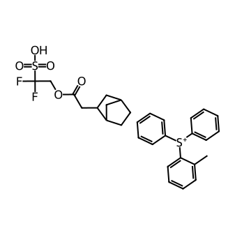 Cc1ccccc1[S+](c1ccccc1)c1ccccc1.O=C(CC1CC2CCC1C2)OCC(F)(F)S(=O)(=O)O